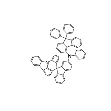 c1ccc(N(c2ccc3c(c2)C2(c4ccccc4-3)c3ccccc3-n3c4ccccc4c4cccc2c43)c2cccc3c2-c2ccccc2C3(c2ccccc2)c2ccccc2)cc1